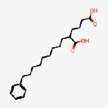 O=C(O)CCCC(CCCCCCCCCc1ccccc1)C(=O)O